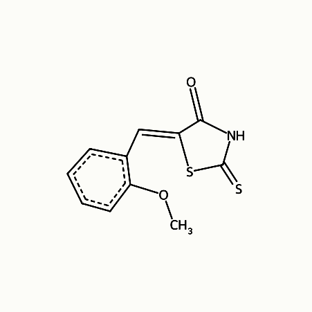 COc1ccccc1C=C1SC(=S)NC1=O